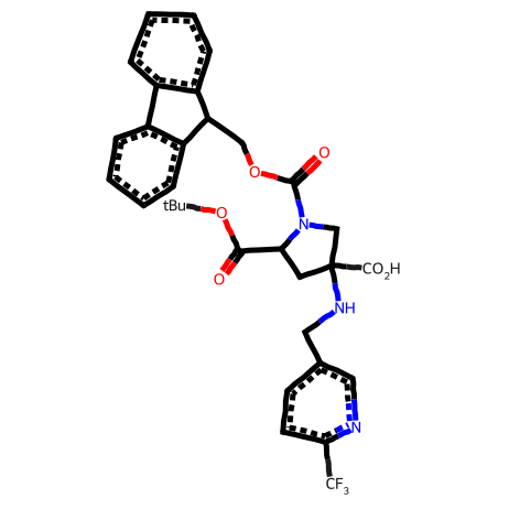 CC(C)(C)OC(=O)C1CC(NCc2ccc(C(F)(F)F)nc2)(C(=O)O)CN1C(=O)OCC1c2ccccc2-c2ccccc21